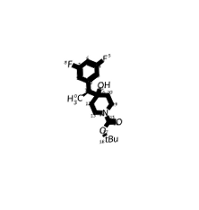 C[C@@H](c1cc(F)cc(F)c1)C1(O)CCN(C(=O)OC(C)(C)C)CC1